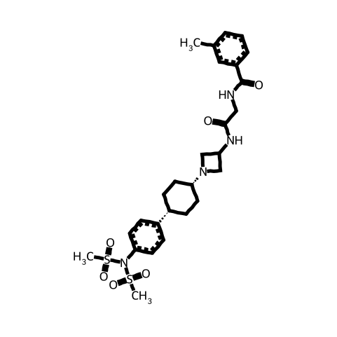 Cc1cccc(C(=O)NCC(=O)NC2CN([C@H]3CC[C@@H](c4ccc(N(S(C)(=O)=O)S(C)(=O)=O)cc4)CC3)C2)c1